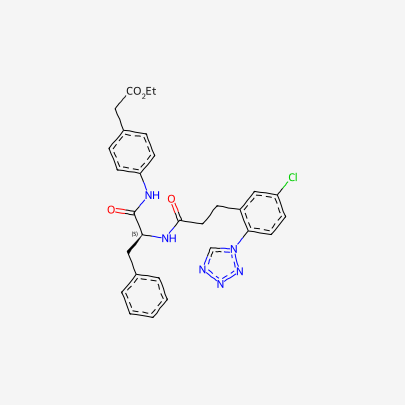 CCOC(=O)Cc1ccc(NC(=O)[C@H](Cc2ccccc2)NC(=O)CCc2cc(Cl)ccc2-n2cnnn2)cc1